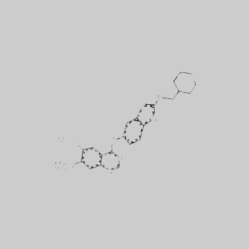 COc1cc2ncnc(Oc3ccc4nc(NCC5CCCCC5)sc4c3)c2cc1OC